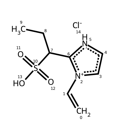 C=C[n+]1cc[nH]c1C(CC)S(=O)(=O)O.[Cl-]